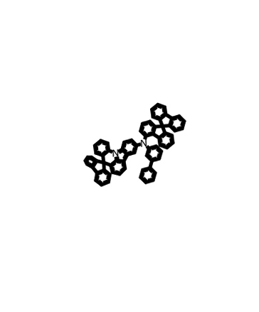 c1ccc(-c2cccc(N(c3ccc4c(c3)c3cccc5c3n4-c3ccccc3C53c4ccccc4-c4ccccc43)c3cccc4c3-c3ccccc3C43c4ccccc4-c4ccccc43)c2)cc1